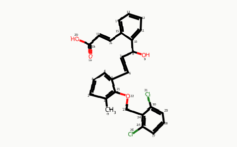 Cc1cccc(/C=C/C(O)c2ccccc2/C=C/C(=O)O)c1OCc1c(Cl)cccc1Cl